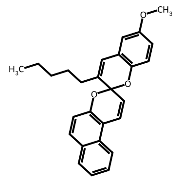 CCCCCC1=Cc2cc(OC)ccc2OC12C=Cc1c(ccc3ccccc13)O2